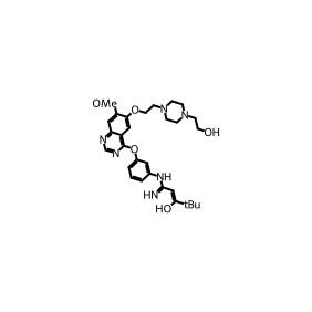 COc1cc2ncnc(Oc3cccc(NC(=N)/C=C(\O)C(C)(C)C)c3)c2cc1OCCN1CCN(CCO)CC1